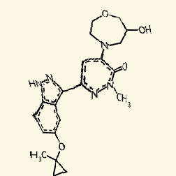 Cn1nc(-c2n[nH]c3ccc(OC4(C)CC4)cc23)cc(N2CCOCC(O)C2)c1=O